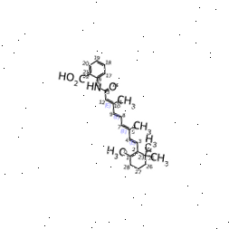 CC1=C(/C=C/C(C)=C/C=C/C(C)=C/C(=O)Nc2ccccc2C(=O)O)C(C)(C)CCC1